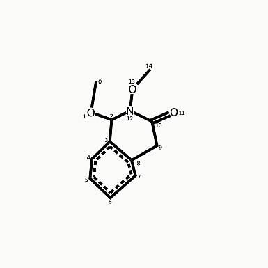 COC1c2ccccc2CC(=O)N1OC